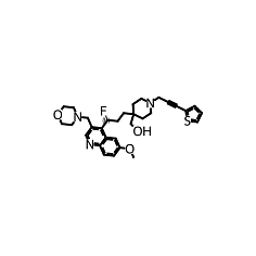 COc1ccc2ncc(CN3CCOCC3)c([C@H](F)CCC3(CO)CCN(CC#Cc4cccs4)CC3)c2c1